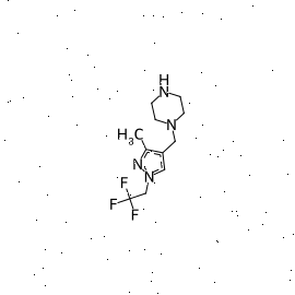 Cc1nn(CC(F)(F)F)cc1CN1CCNCC1